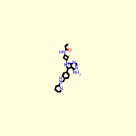 C=CC(=O)N[C@H]1C[C@@H](n2nc(-c3ccc(CNc4ccccn4)cc3)c3c(N)ncnc32)C1